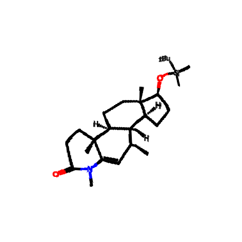 C[C@H]1C=C2N(C)C(=O)CC[C@]2(C)[C@H]2CC[C@]3(C)[C@@H](O[Si](C)(C)C(C)(C)C)CC[C@H]3[C@H]12